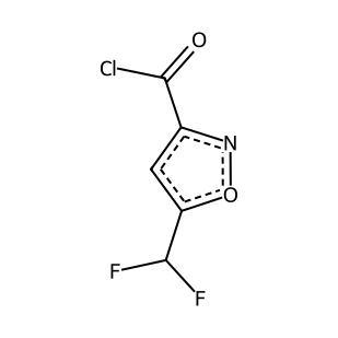 O=C(Cl)c1cc(C(F)F)on1